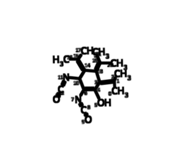 CC(C)=C1C(O)=C(N=C=O)C(N=C=O)C(=C(C)C)C1=C(C)C